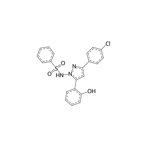 O=S(=O)(Nn1nc(-c2ccc(Cl)cc2)cc1-c1ccccc1O)c1ccccc1